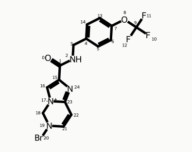 O=C(NCc1ccc(OC(F)(F)F)cc1)C1=C[N+]2CN(Br)C=CC2=N1